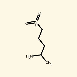 NC(CCC[SH](=O)=O)C(F)(F)F